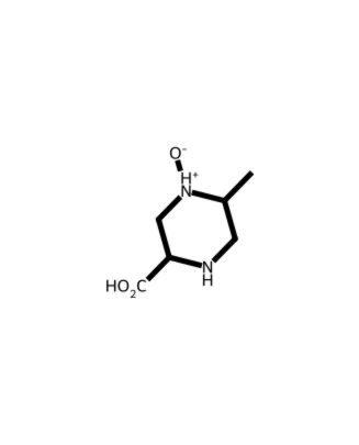 CC1CNC(C(=O)O)C[NH+]1[O-]